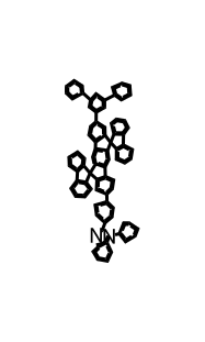 c1ccc(-c2cc(-c3ccccc3)cc(-c3ccc4c(c3)C3(c5ccccc5-c5ccccc53)c3cc5c(cc3-4)C3(c4ccccc4-c4ccccc43)c3cc(-c4ccc(-c6nc7ccccc7n6-c6ccccc6)cc4)ccc3-5)c2)cc1